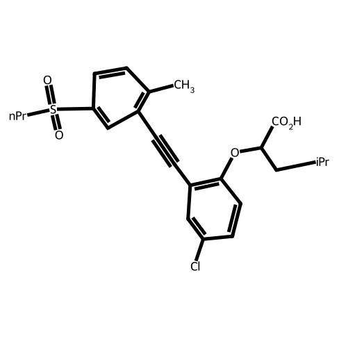 CCCS(=O)(=O)c1ccc(C)c(C#Cc2cc(Cl)ccc2OC(CC(C)C)C(=O)O)c1